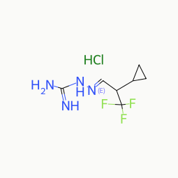 Cl.N=C(N)N/N=C/C(C1CC1)C(F)(F)F